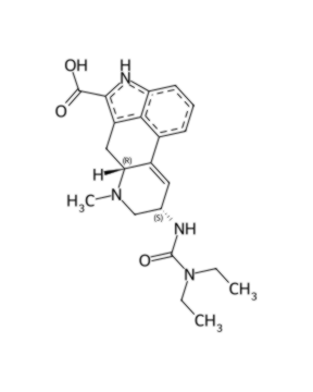 CCN(CC)C(=O)N[C@H]1C=C2c3cccc4[nH]c(C(=O)O)c(c34)C[C@H]2N(C)C1